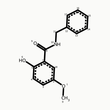 COc1ccc(O)c(C(=O)NCc2ccccc2)c1